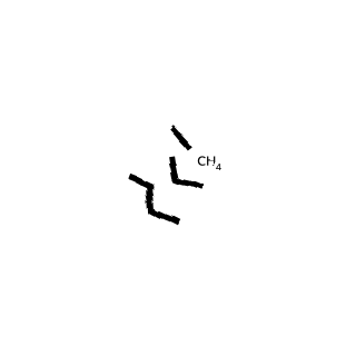 C.CC.CCC.CCCC